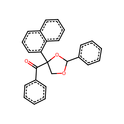 O=C(c1ccccc1)C1(c2cccc3ccccc23)COC(c2ccccc2)O1